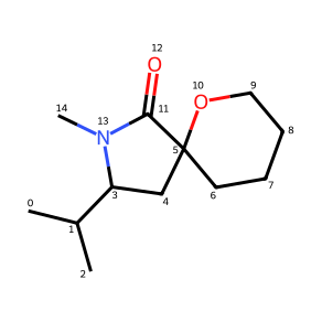 CC(C)C1CC2(CCCCO2)C(=O)N1C